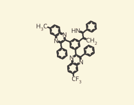 C=C(C(=N)c1ccccc1)c1cc(-c2nc3ccc(C)cc3nc2-c2ccccc2)cc(-c2nc3ccc(C(F)(F)F)cc3nc2-c2ccccc2)c1